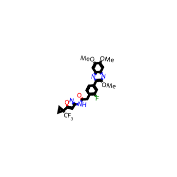 COc1cc2nc(OC)c(-c3ccc(CC(=O)Nc4cc(C5(C(F)(F)F)CC5)on4)c(F)c3)nc2cc1OC